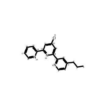 CCCc1ccnc(-c2cc(Cl)cc(-c3ccccn3)n2)c1